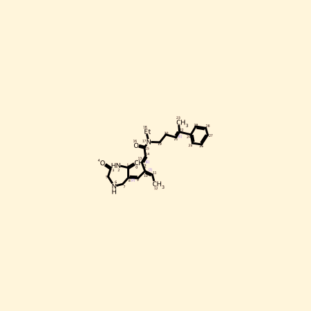 C=C1NC(=O)CNC/C1=C/C(=C\C)/C=C/C(=O)N(CC)CC/C=C(\C)c1ccccc1